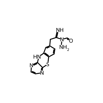 N=C(Cc1ccc2c(c1)Nc1nccnc1S2)N(N)C=O